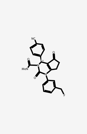 CNC(=O)N1C(=O)N(c2cccc(CF)c2)C2=C(C(=O)CC2)[C@@H]1c1ccc(C#N)cc1